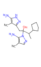 CC(C1CCCC1)C(O)(Cc1n[nH]c(N)c1C#N)n1ncc(C#N)c1N